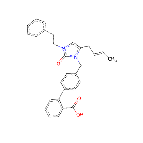 CC=CCc1cn(CCc2ccccc2)c(=O)n1Cc1ccc(-c2ccccc2C(=O)O)cc1